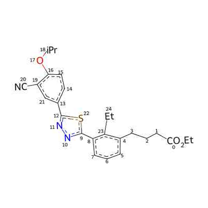 CCOC(=O)CCCc1cccc(-c2nnc(-c3ccc(OC(C)C)c(C#N)c3)s2)c1CC